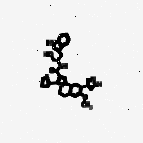 COc1cc2c(cc1-c1cn[nH]c1)-c1cc(C(=O)N[C@@H](CO)Cc3c[nH]c4ccccc34)c(-c3cccs3)n1CC2